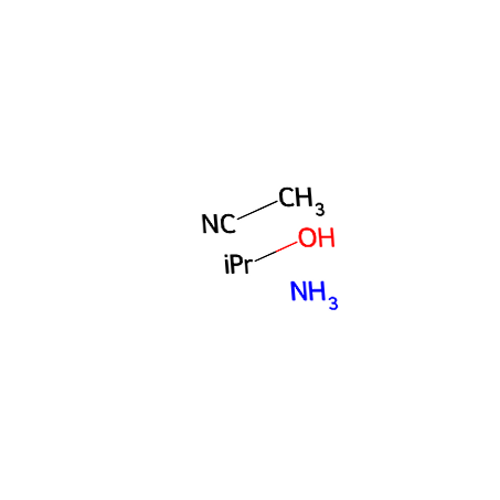 CC#N.CC(C)O.N